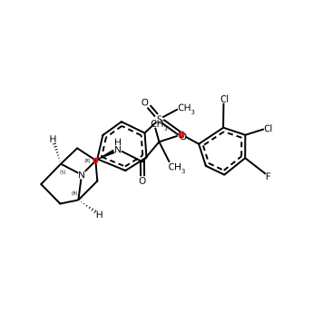 CC(C)(Oc1ccc(F)c(Cl)c1Cl)C(=O)N[C@H]1C[C@H]2CC[C@@H](C1)N2c1ccc(S(C)(=O)=O)cc1